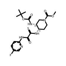 COC(=O)N1CC[C@H](NC(=S)C(=O)Nc2ccc(F)cn2)[C@H](NC(=O)OC(C)(C)C)C1